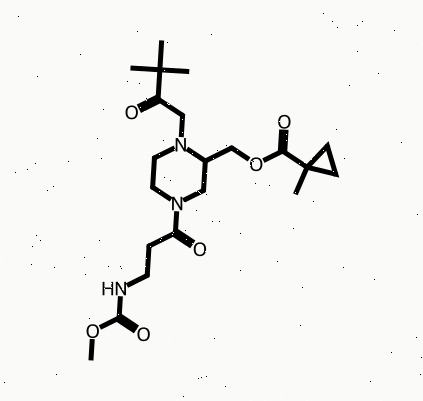 COC(=O)NCCC(=O)N1CCN(CC(=O)C(C)(C)C)C(COC(=O)C2(C)CC2)C1